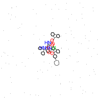 O=C(C[C@H](NC(=O)OCC1c2ccccc2-c2ccccc21)C(=O)NCC(=O)OC(c1ccccc1)(c1ccc(C2CCCCCCC2)cc1)c1ccccc1Cl)NC(c1ccccc1)(c1ccccc1)c1ccccc1